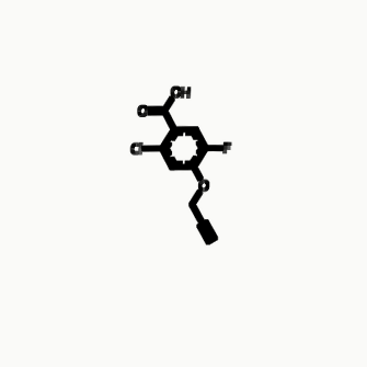 C#CCOc1cc(Cl)c(C(=O)O)cc1F